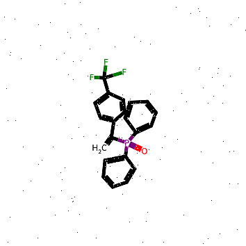 C=C(c1ccc(C(F)(F)F)cc1)P(=O)(c1ccccc1)c1ccccc1